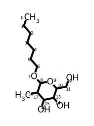 CCCCCCCOC1OC(CO)C(O)C(O)C1C